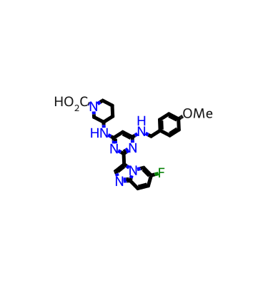 COc1ccc(CNc2cc(NC3CCCN(C(=O)O)C3)nc(-c3cnc4ccc(F)cn34)n2)cc1